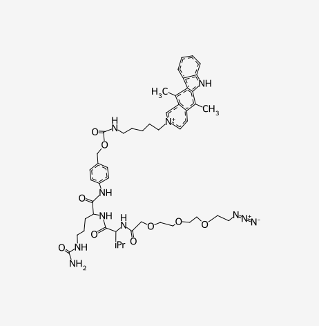 Cc1c2cc[n+](CCCCCNC(=O)OCc3ccc(NC(=O)C(CCCNC(N)=O)NC(=O)C(NC(=O)COCCOCCOCCN=[N+]=[N-])C(C)C)cc3)cc2c(C)c2c1[nH]c1ccccc12